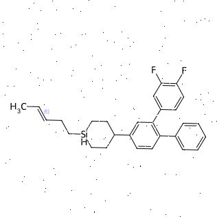 C/C=C/CC[SiH]1CCC(c2ccc(-c3ccccc3)c(-c3ccc(F)c(F)c3)c2)CC1